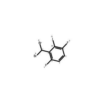 Fc1ccc(F)c(C(Br)Br)c1I